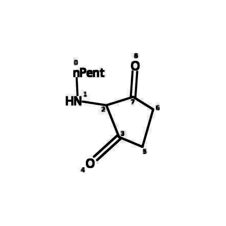 CCCCCNC1C(=O)CCC1=O